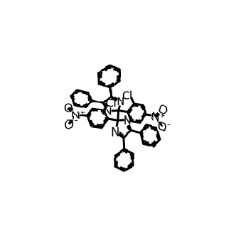 O=[N+]([O-])c1ccc(C2(C3(c4ccc([N+](=O)[O-])cc4Cl)N=C(c4ccccc4)C(c4ccccc4)=N3)N=C(c3ccccc3)C(c3ccccc3)=N2)c(Cl)c1